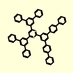 c1ccc(-c2ccc(-c3cc(-c4ccc(-c5ccccc5)cc4)cc(-c4nc(-c5cc(-c6ccccc6)cc(-c6ccccc6)c5)cc(-c5cc(-c6ccccc6)cc(-c6ccccc6)c5)n4)c3)cc2)cc1